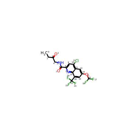 CCC(=O)CNC(=O)c1cc(Cl)c2cc(OC(F)F)cc(C(F)(F)F)c2n1